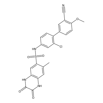 COc1ccc(-c2ccc(NS(=O)(=O)c3cc4[nH]c(=O)c(=O)[nH]c4cc3C)cc2Cl)cc1C#N